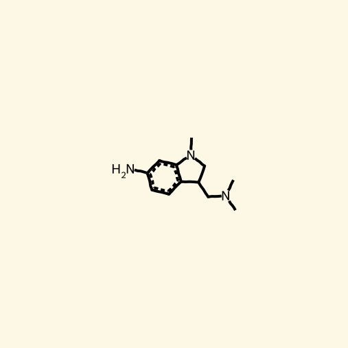 CN(C)CC1CN(C)c2cc(N)ccc21